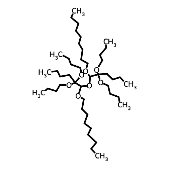 CCCCCCCCCOC(OC(OCCCCCCCCC)C(CCCC)(OCCCC)OCCCC)C(CCCC)(OCCCC)OCCCC